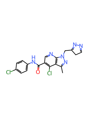 Cc1nn(CC2=NN=CC2)c2ncc(C(=O)Nc3ccc(Cl)cc3)c(Cl)c12